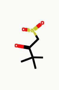 CC(C)(C)C(=O)C[SH](=O)=O